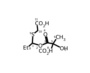 CCC(OC(=O)C(C)(O)C(=O)O)SCC(=O)O